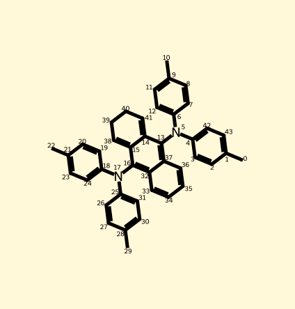 Cc1ccc(N(c2ccc(C)cc2)c2c3c(c(N(c4ccc(C)cc4)c4ccc(C)cc4)c4ccccc24)=CCCC=3)cc1